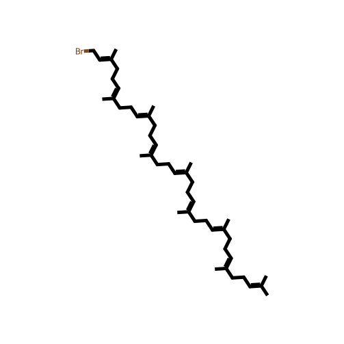 CC(C)=CCCC(C)=CCCC(C)=CCCC(C)=CCCC(C)=CCCC(C)=CCCC(C)=CCCC(C)=CCCC(C)=CCBr